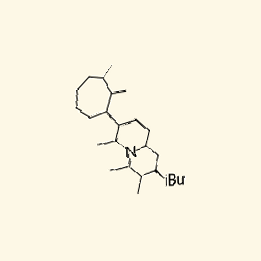 CC[C@H](C)C1CC2CCC(C3CCCCC(C)C3C)C(C)N2C(C)C1C